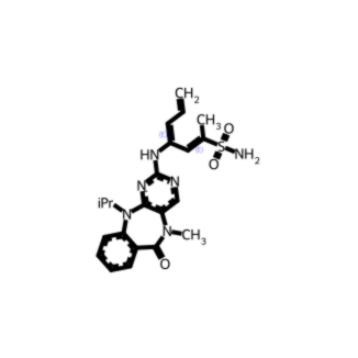 C=C/C=C(\C=C(/C)S(N)(=O)=O)Nc1ncc2c(n1)N(C(C)C)c1ccccc1C(=O)N2C